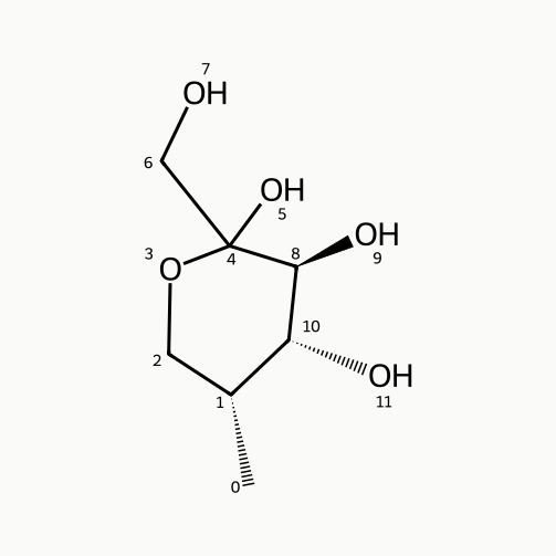 C[C@@H]1COC(O)(CO)[C@@H](O)[C@@H]1O